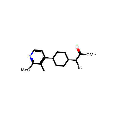 CCC(C(=O)OC)[C@H]1CC[C@@H](c2ccnc(OC)c2C)CC1